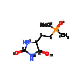 COP(C)(=O)CCC1NC(=O)NC1=O